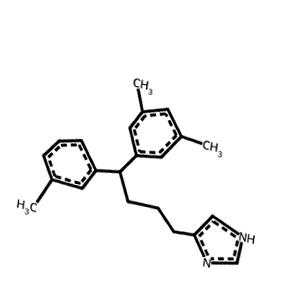 Cc1cccc(C(CCCc2c[nH]cn2)c2cc(C)cc(C)c2)c1